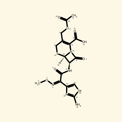 CO/N=C(\C(=O)N[C@@H]1C(=O)N2C(C(=O)O)=C(COC(C)=O)CS[C@H]12)c1c[se]c(N)n1